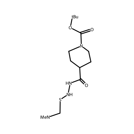 CNCSNNC(=O)C1CCN(C(=O)OC(C)(C)C)CC1